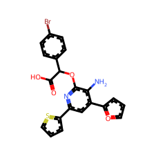 Nc1c(-c2ccco2)cc(-c2cccs2)nc1OC(C(=O)O)c1ccc(Br)cc1